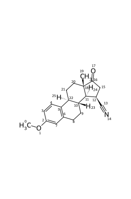 COc1ccc2c(c1)CC[C@H]1[C@@H]3[C@H](C#N)CC(=O)[C@@]3(C)CC[C@H]21